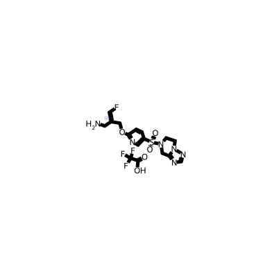 NC/C(=C/F)COc1ccc(S(=O)(=O)N2CCn3ncnc3C2)cn1.O=C(O)C(F)(F)F